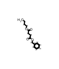 CCCCOC(=O)CCC(=O)OCc1ccccc1